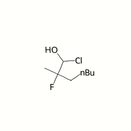 CCCCCC(C)(F)C(O)Cl